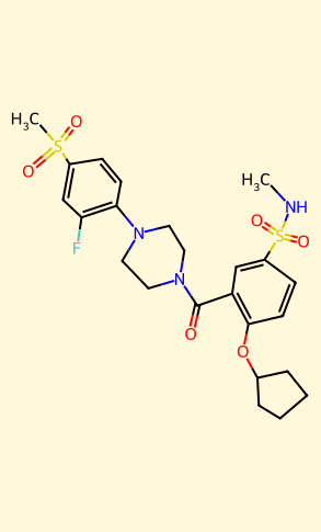 CNS(=O)(=O)c1ccc(OC2CCCC2)c(C(=O)N2CCN(c3ccc(S(C)(=O)=O)cc3F)CC2)c1